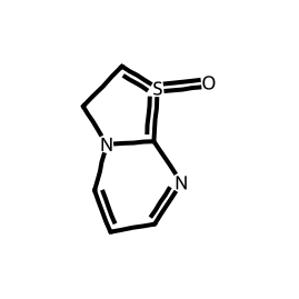 O=S1=CCN2C=CC=NC=12